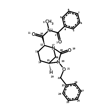 CN(C(=O)c1ccccc1)C(=O)[C@@H]1CC[C@H]2CN1C(=O)N2OCc1ccccc1